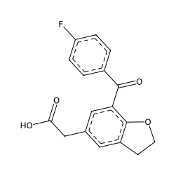 O=C(O)Cc1cc2c(c(C(=O)c3ccc(F)cc3)c1)OCC2